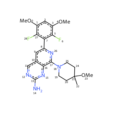 COc1cc(OC)c(F)c(-c2cc3cnc(N)nc3c(N3CCC(C)(OC)CC3)n2)c1F